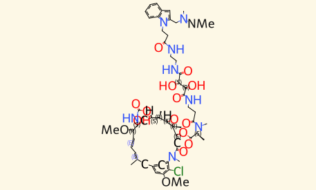 CNN(C)Cc1cc2ccccc2n1CCC(=O)NCCNC(=O)[C@@H](O)[C@@H](O)C(=O)NCCC(=O)N(C)[C@@H](C)C(=O)O[C@H]1CC(=O)N(C)c2cc(cc(OC)c2Cl)C/C(C)=C/C=C/[C@@H](OC)[C@@]2(O)C[C@H](OC(=O)N2)[C@@H](C)[C@@H]2O[C@]12C